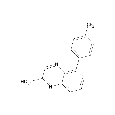 O=C(O)c1cnc2c(-c3ccc(C(F)(F)F)cc3)cccc2n1